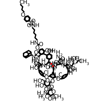 CCCCCOc1ccc(S(=O)(=O)NCCCCCCNC(=O)Oc2cc(O)c3c(c2)[C@@H](C(=O)NC2C4CC5CC(C4)CC2C5)NC(=O)[C@H]2NC(=O)[C@H](NC(=O)[C@@H]4NC(=O)[C@H](CC(N)=O)NC(=O)[C@H](NC(=O)[C@@H](CC(C)C)NC)[C@H](O)c5ccc(c(C)c5)Oc5cc4cc(c5O[C@@H]4O[C@H](CO)[C@@H](O)[C@H](O)[C@H]4O[C@H]4C[C@](C)(N)[C@H](O)[C@H](C)O4)Oc4ccc(cc4Cl)[C@H]2O)c2ccc(O)c-3c2)cc1